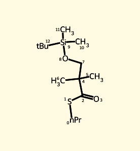 CCCSC(=O)C(C)(C)CO[Si](C)(C)C(C)(C)C